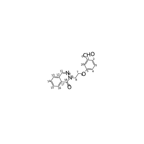 O=Cc1cccc(OCCn2ncc3ccccc3c2=O)c1